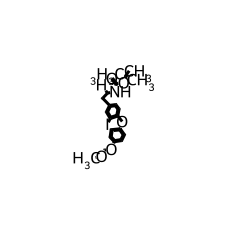 [3H]C(Cc1ccc(Oc2ccc(OCOC)cc2)c(I)c1)NC(=O)OC(C)(C)C